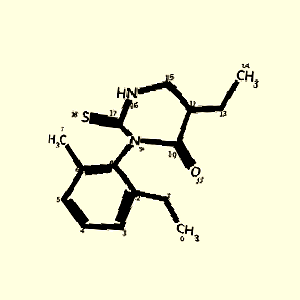 CCc1cccc(C)c1N1C(=O)C(CC)CNC1=S